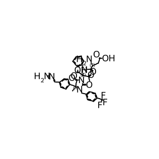 CC(=O)[C@@](C(=O)O)(N1C(=O)N(Cc2ccc(C(F)(F)F)cc2)[C@](C)(c2ccc(C=NN)cc2)C1=O)N(C(=O)[C@@H](N)CC(=O)O)c1ccccc1